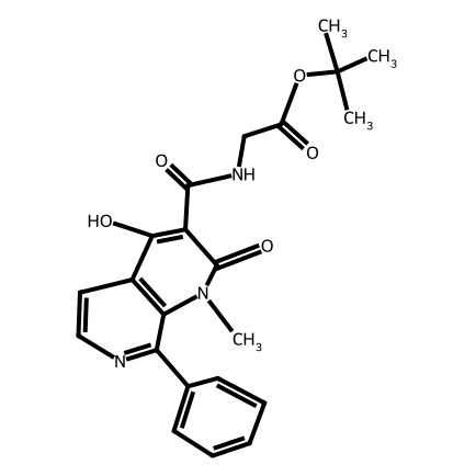 Cn1c(=O)c(C(=O)NCC(=O)OC(C)(C)C)c(O)c2ccnc(-c3ccccc3)c21